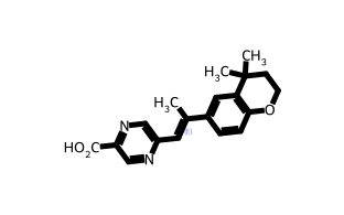 C/C(=C\c1cnc(C(=O)O)cn1)c1ccc2c(c1)C(C)(C)CCO2